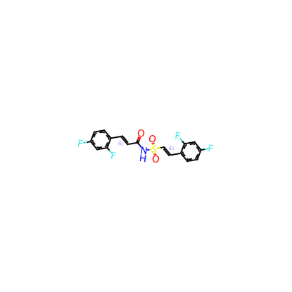 O=C(/C=C/c1ccc(F)cc1F)NS(=O)(=O)/C=C/c1ccc(F)cc1F